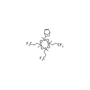 C[Si]1(CCC(F)(F)F)O[Si](C)(CCC(F)(F)F)O[Si](C)(C2CC3C=CC2C3)O[Si](C)(CCC(F)(F)F)O1